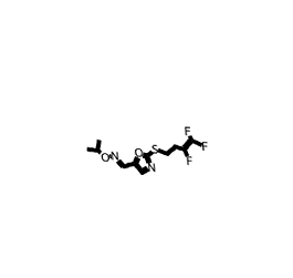 CC(C)O/N=C/c1cnc(SCCC(F)=C(F)F)o1